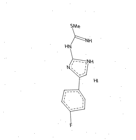 CSC(=N)Nc1nc(-c2ccc(F)cc2)c[nH]1.I